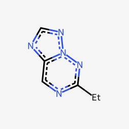 CCc1ncc2ncnn2n1